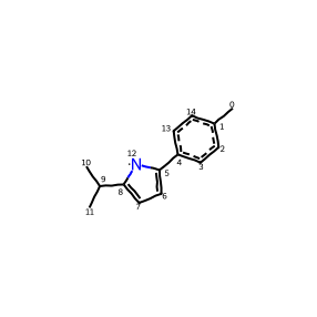 Cc1ccc(C2=CC=C(C(C)C)[N]2)cc1